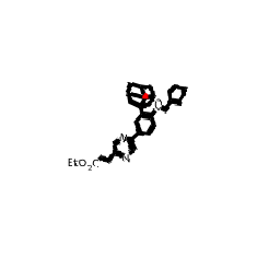 CCOC(=O)C=Cc1cnc(-c2ccc(OCc3ccccc3)c(C34CC5CC(CC(C5)C3)C4)c2)cn1